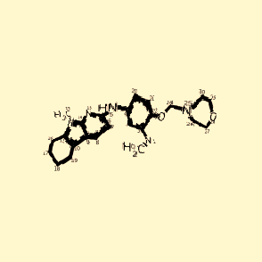 C=Nc1cc(Nc2ccc3c4c(n(C)c3n2)CCCC4)ccc1OCN1CCOCC1